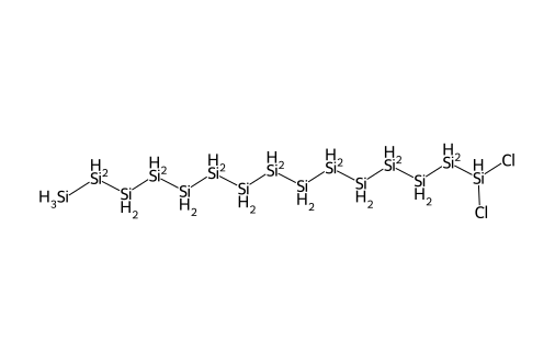 [SiH3][SiH2][SiH2][SiH2][SiH2][SiH2][SiH2][SiH2][SiH2][SiH2][SiH2][SiH2][SiH2][SiH2][SiH](Cl)Cl